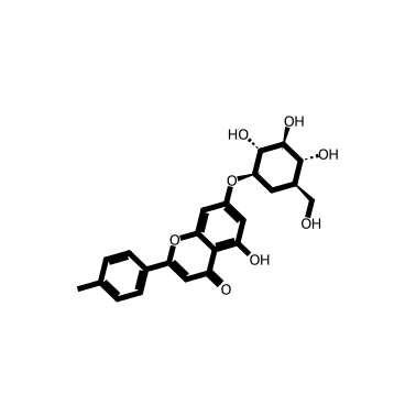 Cc1ccc(-c2cc(=O)c3c(O)cc(O[C@@H]4C[C@H](CO)[C@@H](O)[C@H](O)[C@H]4O)cc3o2)cc1